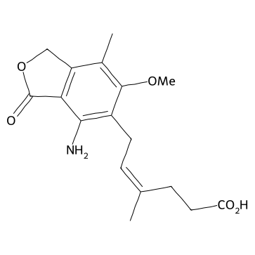 COc1c(C)c2c(c(N)c1CC=C(C)CCC(=O)O)C(=O)OC2